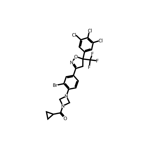 O=C(C1CC1)N1CN(c2ccc(C3=NOC(c4cc(Cl)c(Cl)c(Cl)c4)(C(F)(F)F)C3)cc2Br)C1